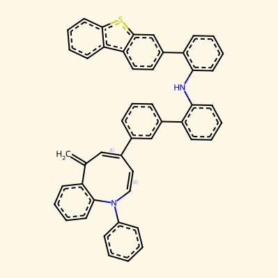 C=C1/C=C(c2cccc(-c3ccccc3Nc3ccccc3-c3ccc4c(c3)sc3ccccc34)c2)\C=C/N(c2ccccc2)c2ccccc21